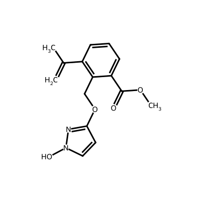 C=C(C)c1cccc(C(=O)OC)c1COc1ccn(O)n1